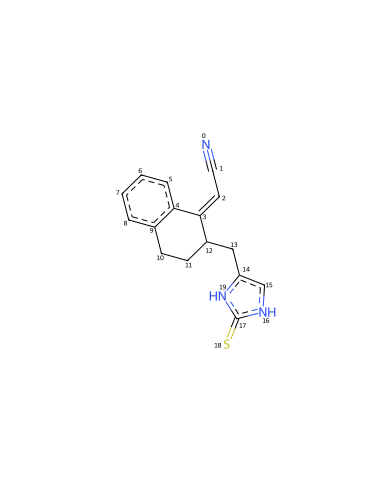 N#C/C=C1\c2ccccc2CCC1Cc1c[nH]c(=S)[nH]1